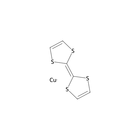 C1=CSC(=C2SC=CS2)S1.[Cu]